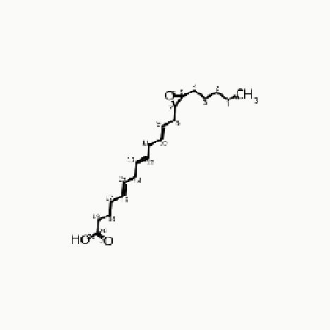 CCCCCC1OC1CC=CCC=CCC=CCCCC(=O)O